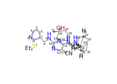 CCSc1ncccc1CNc1ncc(C#N)c(NC[C@]23CC4C[C@H](C2)[C@@H](NC[C@H]2CC[C@@](C)(O)CC2)[C@@H](C4)C3)n1